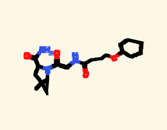 CC12CC(C(N)=O)N(C(=O)CNC(=O)CCCOC3CCCCC3)C1C2